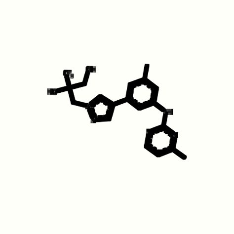 Cc1cc(Nc2nccc(C)n2)cc(-c2cnn(CC(O)(CO)C(F)(F)F)c2)c1